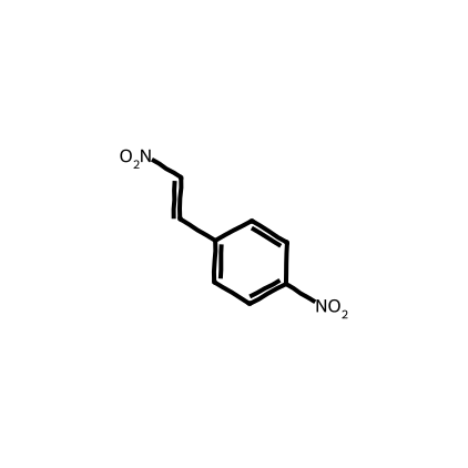 O=[N+]([O-])/C=C/c1ccc([N+](=O)[O-])cc1